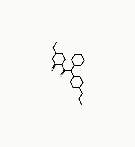 CCCC1CCC(C(C(=O)C2CCC(CC)CC2=O)C2CCCCC2)CC1